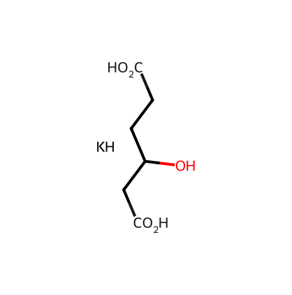 O=C(O)CCC(O)CC(=O)O.[KH]